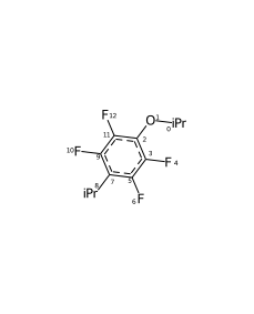 CC(C)Oc1c(F)c(F)c(C(C)C)c(F)c1F